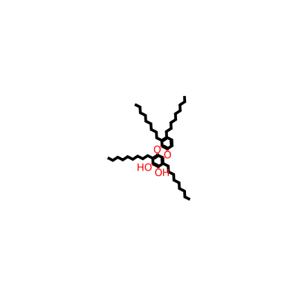 CCCCCCCCCc1ccc2c(c1CCCCCCCCC)Oc1c(CCCCCCCCC)c(O)c(O)c(CCCCCCCCC)c1O2